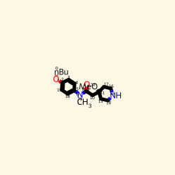 CCCCOc1ccc(N(C)C(=O)CC2(OC)CCNCC2)cc1